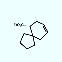 CCOC(=O)[C@@H]1[C@H](C)C=CCC12CCCC2